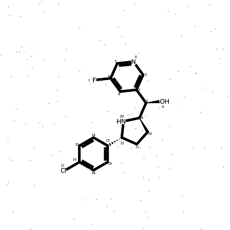 O[C@H](c1cncc(F)c1)[C@H]1CC[C@H](c2ccc(Cl)cc2)N1